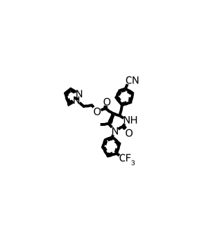 CC1=C(C(=O)OCCn2cccn2)C(c2ccc(C#N)cc2)NC(=O)N1c1cccc(C(F)(F)F)c1